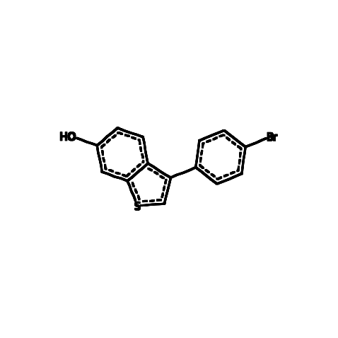 Oc1ccc2c(-c3ccc(Br)cc3)csc2c1